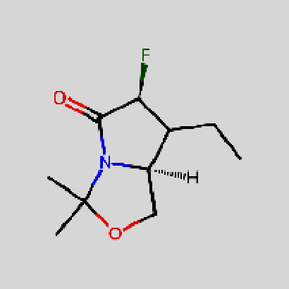 CCC1[C@H](F)C(=O)N2[C@@H]1COC2(C)C